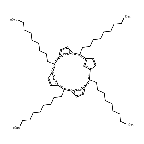 CCCCCCCCCCCCCCCCCCc1c2nc(c(CCCCCCCCCCCCCCCCCC)c3ccc([nH]3)c(CCCCCCCCCCCCCCCCCC)c3nc(c(CCCCCCCCCCCCCCCCCC)c4ccc1[nH]4)C=C3)C=C2